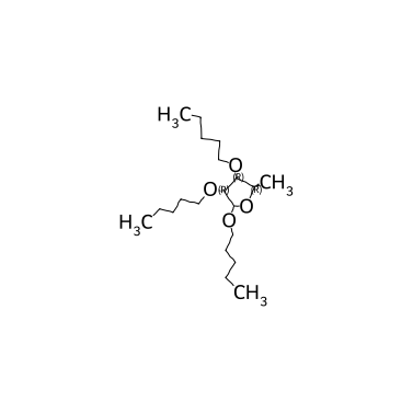 CCCCCOC1O[C@H](C)[C@@H](OCCCCC)[C@H]1OCCCCC